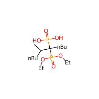 CCCCC(C)C(CCCC)(P(=O)(O)O)P(=O)(OCC)OCC